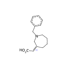 O=C(O)/C=C1/CCCCN(Cc2ccccc2)C1